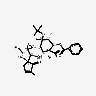 C=C(C)[C@@]1(O)[C@H](O)[C@H]([C@@H]2O[C@]2(CO)[C@@H](O)[C@@]2(O)CC=C(C)C2=O)[C@](C)(OC(C)(C)C)[C@H](C)[C@H]1OC(=O)c1ccccc1